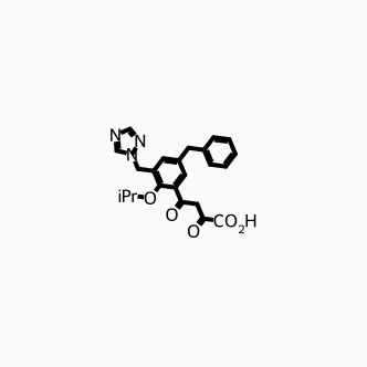 CC(C)Oc1c(Cn2cncn2)cc(Cc2ccccc2)cc1C(=O)CC(=O)C(=O)O